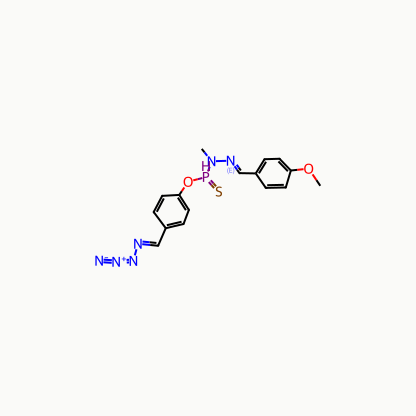 COc1ccc(/C=N/N(C)[PH](=S)Oc2ccc(C=NN=[N+]=[N-])cc2)cc1